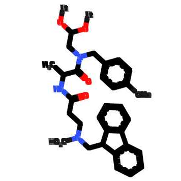 CCOC(CN(Cc1ccc(OC)cc1)C(=O)C(C)NC(=O)CCN(CC1c2ccccc2-c2ccccc21)C(=O)O)OCC